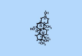 C[C@]12CC[C@H](O)CC1=C[C@@H](O)[C@@H]1[C@@H]2CC[C@@]2(C)[C@H]1CC[C@]2(C)O